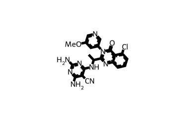 COc1cncc(-n2c(C(C)Nc3nc(N)nc(N)c3C#N)nc3cccc(Cl)c3c2=O)c1